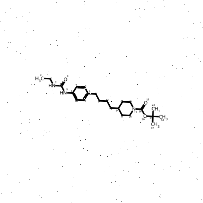 CCNC(=O)Nc1ccc(CCCCC2CCN(C(=O)OC(C)(C)C)CC2)cc1